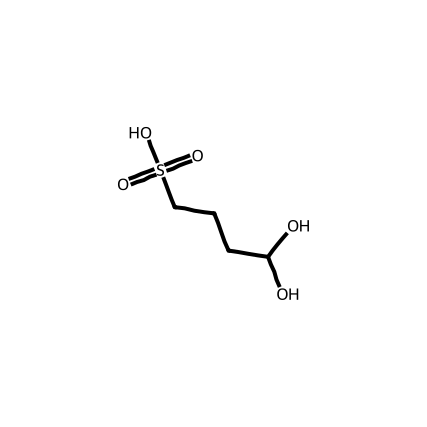 O=S(=O)(O)CCCC(O)O